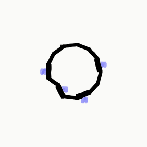 [CH]1C\C=C/C=C/C=C\C/C=C\CC1